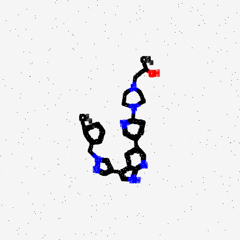 Cc1cccc(Cn2cc(-c3c[nH]c4ncc(-c5ccc(N6CCN(CC(C)O)CC6)nc5)cc34)cn2)c1